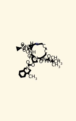 CC1CN(C(=O)O[C@@H]2C[C@H]3C(=O)N[C@]4(C(=O)NS(=O)(=O)C5CC5)C[C@H]4/C=C/CCCCC[C@H](NC(=O)NC(C)(C)C)C(=O)N3C2)Cc2ccccc21